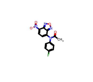 CC(=O)N(c1ccc(F)cc1)c1ccc([N+](=O)[O-])c2nonc12